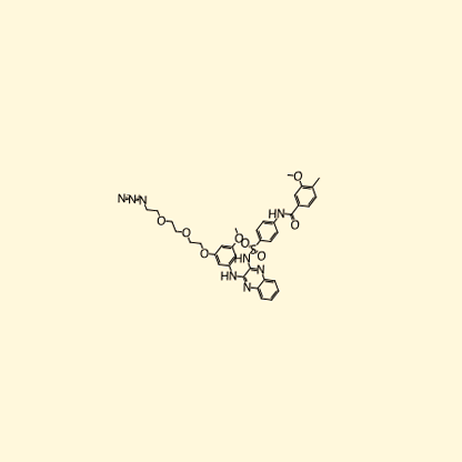 COc1cc(Nc2nc3ccccc3nc2NS(=O)(=O)c2ccc(NC(=O)c3ccc(C)c(OC)c3)cc2)cc(OCCOCCOCCN=[N+]=[N-])c1